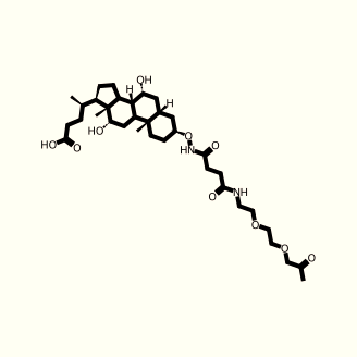 CC(=O)COCCOCCNC(=O)CCC(=O)NO[C@H]1CC[C@]2(C)C3C[C@H](O)[C@@]4(C)C(CC[C@@H]4[C@H](C)CCC(=O)O)[C@@H]3[C@H](O)C[C@@H]2C1